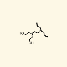 C=CCN(CC=C)CCN(CCO)CCO